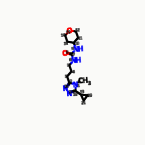 Cn1c(CCCNC(=O)NC2CCOCC2)nnc1C1CC1